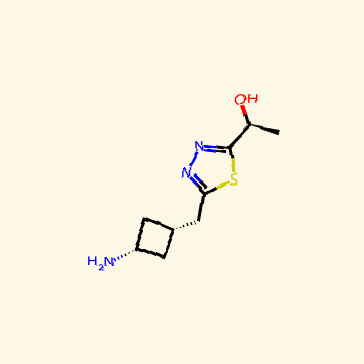 C[C@H](O)c1nnc(C[C@H]2C[C@@H](N)C2)s1